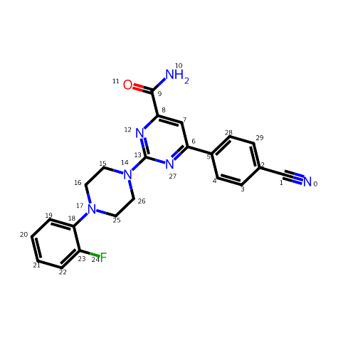 N#Cc1ccc(-c2cc(C(N)=O)nc(N3CCN(c4ccccc4F)CC3)n2)cc1